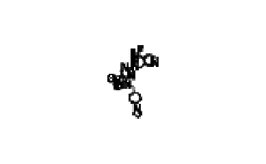 O=[N+]([O-])c1cnc(NCc2cnccc2C(F)(F)F)nc1NC[C@H]1CC[C@H](N2CCC2)CC1